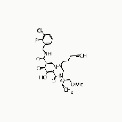 C#CCCCN1CN([C@H](C=C)COC)C(=O)c2c(O)c(=O)c(C(=O)NCc3cccc(Cl)c3F)cn21